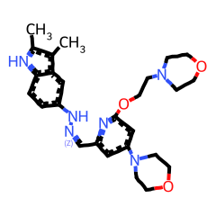 Cc1[nH]c2ccc(N/N=C\c3cc(N4CCOCC4)cc(OCCN4CCOCC4)n3)cc2c1C